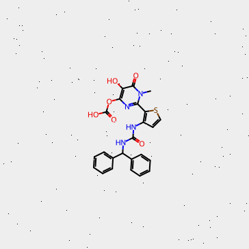 Cn1c(-c2sccc2NC(=O)NC(c2ccccc2)c2ccccc2)nc(OC(=O)O)c(O)c1=O